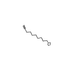 C#CCCCCCCCCCl